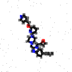 O=C(O)c1ccc2nc(CN3CCN(c4cccc(OCc5ccncc5)n4)CC3)n(C[C@@H]3CCO3)c2c1